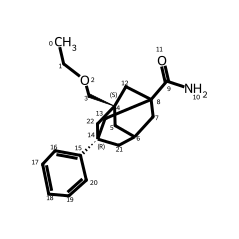 CCOC[C@]12CC3CC(C(N)=O)(C1)C[C@@](c1ccccc1)(C3)C2